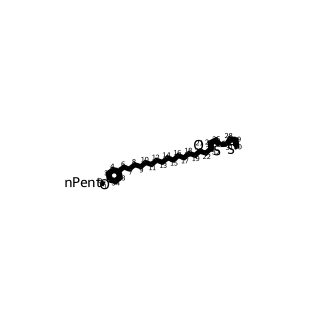 CCCCCOc1ccc(CCCCCCCCCCCCCCC(=O)Cc2ccc(-c3cccs3)s2)cc1